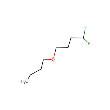 [CH2]CCCOCCCC(F)F